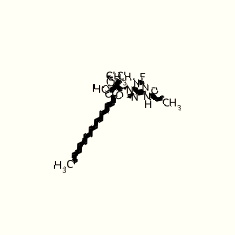 C#CC(CO)(OC)[C@H](Cn1cnc2c(NC(=O)CCC)nc(F)nc21)OC(=O)CCCCCCCCCCCCCCCC